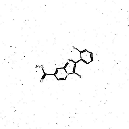 CCc1c(-c2ccccc2Br)nc2cc(C(=O)OC)ccn12